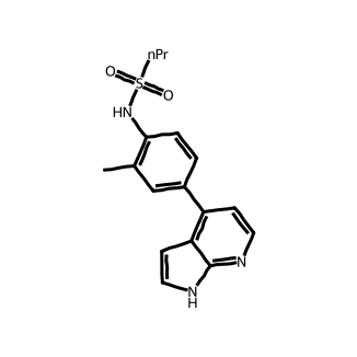 CCCS(=O)(=O)Nc1ccc(-c2ccnc3[nH]ccc23)cc1C